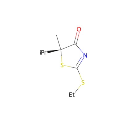 CCSC1=NC(=O)[C@](C)(C(C)C)S1